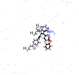 C=CC(=O)N1CCC(C#Cc2c(-c3ccc(Oc4ccccc4)cn3)c3c(N)ncnc3n2C(C)C)CC1